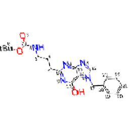 CC(C)(C)OC(=O)NCCCc1nc(O)c2c(ncn2Cc2ccccc2)n1